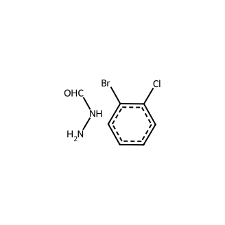 Clc1ccccc1Br.NNC=O